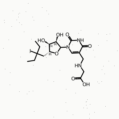 CCC(I)(CC)C[C@H]1OC(n2cc(CNCC(=O)O)c(=O)[nH]c2=O)[C@H](O)[C@@H]1O